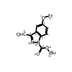 CCOc1ccc2c(c1)c(C=O)nn2C(=O)OC(C)(C)C